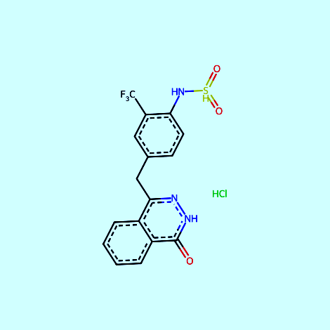 Cl.O=c1[nH]nc(Cc2ccc(N[SH](=O)=O)c(C(F)(F)F)c2)c2ccccc12